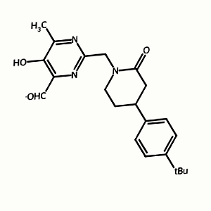 Cc1nc(CN2CCC(c3ccc(C(C)(C)C)cc3)CC2=O)nc([C]=O)c1O